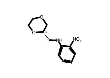 O=[N+]([O-])c1ccccc1NC[C@H]1COCCO1